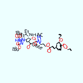 C=CCOc1ccc(/C=C/C(=O)OCCCNC(=O)O[C@H]2[C@@H]([C@@H](NC(C)=O)C(CC)CC)[C@H](NC(=NC(=O)OC(C)(C)C)NC(=O)OC(C)(C)C)C[C@@H]2C(=O)OC)cc1OCC=C